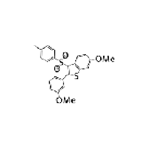 COc1cccc(-c2sc3cc(OC)ccc3c2S(=O)(=O)c2ccc(C)cc2)c1